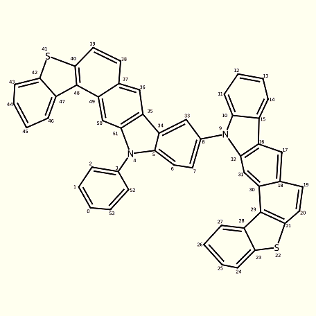 c1ccc(-n2c3ccc(-n4c5ccccc5c5cc6ccc7sc8ccccc8c7c6cc54)cc3c3cc4ccc5sc6ccccc6c5c4cc32)cc1